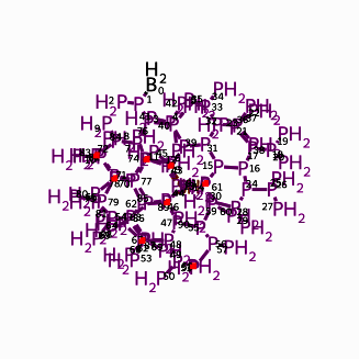 BP(P)P(P(P)P)P(P(P)P)P(/P=[SH](=P/P(P(P(P(P)P)P(P)P)P(P(P)P)P(P)P)P(P(P(P)P)P(P)P)P(P(P)P)P(P)P)\P(P(P(P(P)P)P(P)P)P(P(P)P)P(P)P)P(P(P(P)P)P(P)P)P(P(P)P)P(P)P)P(P(P(P)P)P(P)P)P(P(P)P)P(P)P